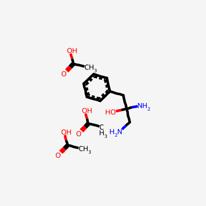 CC(=O)O.CC(=O)O.CC(=O)O.NCC(N)(O)Cc1ccccc1